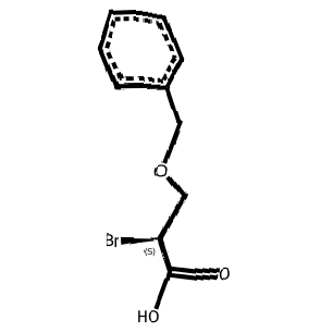 O=C(O)[C@@H](Br)COCc1ccccc1